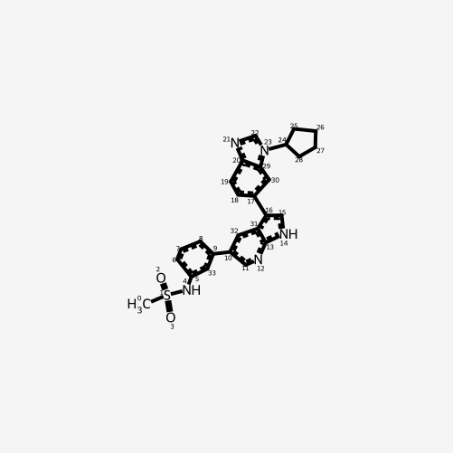 CS(=O)(=O)Nc1cccc(-c2cnc3[nH]cc(-c4ccc5ncn(C6CCCC6)c5c4)c3c2)c1